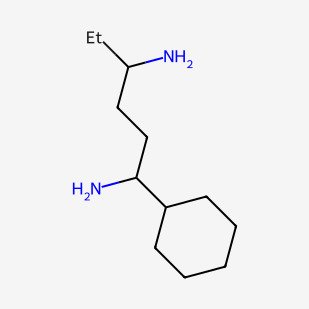 CCC(N)CCC(N)C1CCCCC1